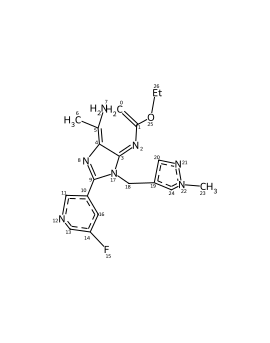 C=C(/N=C1\C(=C(\C)N)N=C(c2cncc(F)c2)N1Cc1cnn(C)c1)OCC